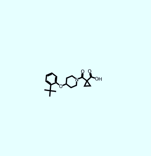 CC(C)(C)c1ccccc1OC1CCN(C(=O)C2(C(=O)O)CC2)CC1